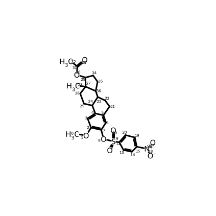 COc1cc2c(cc1OS(=O)(=O)c1ccc([N+](=O)[O-])cc1)CCC1C2CCC2(C)C(OC(C)=O)CCC12